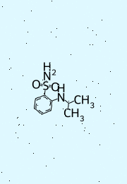 CC(C)Nc1ccccc1S(N)(=O)=O